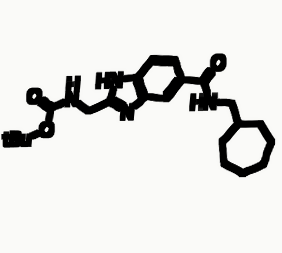 CC(C)(C)OC(=O)NCc1nc2cc(C(=O)NCC3CCCCCC3)ccc2[nH]1